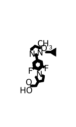 CC1(OCC2CC2)CC=NC(c2cc(F)c(N3CCC(CC(=O)O)C3)c(F)c2)=N1